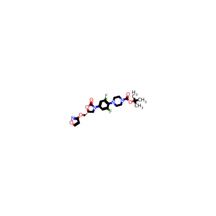 CC(C)(C)OC(=O)N1CCN(c2c(F)cc(N3C[C@H](COc4ccon4)OC3=O)cc2F)CC1